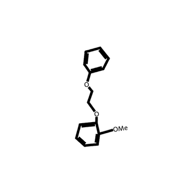 COc1ccccc1OCCOc1ccccc1